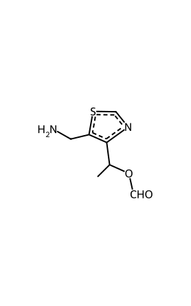 CC(OC=O)c1ncsc1CN